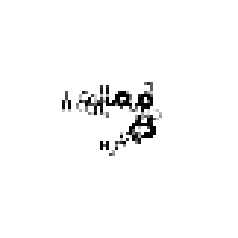 CCOC(=O)CCCN(C(=O)c1ccc(Br)o1)c1ccc(Cl)cc1Oc1cccc(CNC(=O)OC(C)(C)C)c1